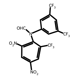 O=CN(c1cc(C(F)(F)F)cc(C(F)(F)F)c1)c1c([N+](=O)[O-])cc([N+](=O)[O-])cc1C(F)(F)F